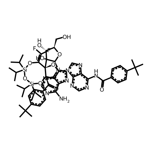 CC(C)[Si]1(C(C)C)OC(=C(F)F)[C@@]2([C@]3(O)[C@H](O)[C@@H](CO)O[C@H]3n3cnc4c(N)ncnc43)O[C@@H](n3cnc4c(NC(=O)c5ccc(C(C)(C)C)cc5)ncnc43)C[C@]2(C(=O)c2ccc(C(C)(C)C)cc2)O[Si](C(C)C)(C(C)C)O1